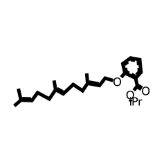 CC(C)=CCC/C(C)=C/CC/C(C)=C/COc1ccccc1C(=O)OC(C)C